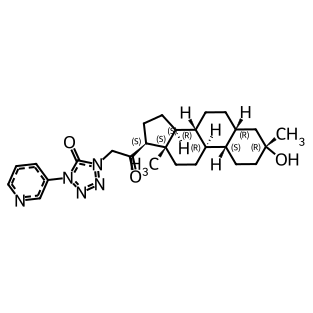 C[C@@]1(O)CC[C@H]2[C@H](CC[C@@H]3[C@@H]2CC[C@]2(C)[C@@H](C(=O)Cn4nnn(-c5cccnc5)c4=O)CC[C@@H]32)C1